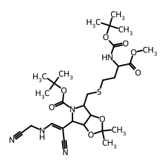 COC(=O)C(CCSCC1C2OC(C)(C)OC2C(/C(C#N)=C/NCC#N)N1C(=O)OC(C)(C)C)NC(=O)OC(C)(C)C